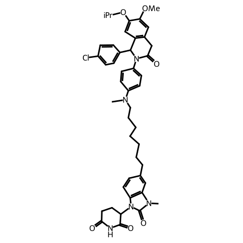 COc1cc2c(cc1OC(C)C)C(c1ccc(Cl)cc1)N(c1ccc(N(C)CCCCCCCc3ccc4c(c3)n(C)c(=O)n4C3CCC(=O)NC3=O)cc1)C(=O)C2